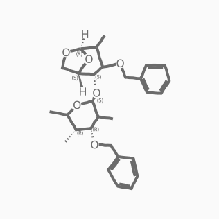 CC1C(OCc2ccccc2)[C@H](O[C@@H]2OC(C)[C@@H](C)[C@@H](OCc3ccccc3)C2C)[C@@H]2CO[C@@H]1O2